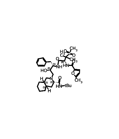 Cc1ccc(C(=O)N[C@H](C(=O)N[C@@H](Cc2ccccc2)[C@H](O)CN2C[C@H]3CCCC[C@H]3C[C@H]2C(=O)NC(C)(C)C)C(C)(C)S(C)(=O)=O)o1